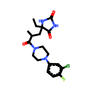 CCC1(CC(C)C(=O)N2CCN(c3ccc(F)c(Cl)c3)CC2)NC(=O)NC1=O